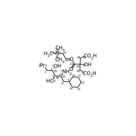 CC(C)C[C@H](O)[C@H](O)[C@@H](N)CC1CCCCC1.C[N+](C)(C)CCOC(=O)C(O)(CC(=O)O)CC(=O)O